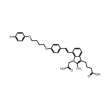 Cc1c(CCCC(=O)O)c2cccc(/C=C/c3ccc(OCCCCOc4ccc(F)cc4)cc3)c2n1CC(=O)O